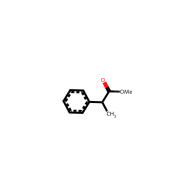 COC(=O)[C](C)c1ccccc1